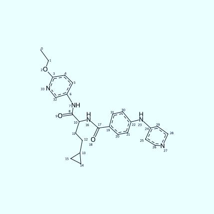 CCOc1ccc(NC(=O)C(CCC2CC2)NC(=O)c2ccc(Nc3ccncc3)cc2)cn1